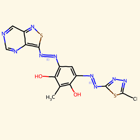 Cc1nnc(/N=N/c2cc(/N=N/c3snc4cncnc34)c(O)c(C)c2O)s1